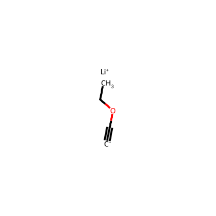 [C-]#COCC.[Li+]